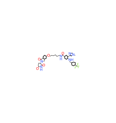 Cn1cnc(-c2cc(C(=O)NCCCCCCOc3ccc4c(c3)CN(C3CCC(=O)NC3=O)C4=O)ccc2NCc2ccc(C(F)(F)F)cc2)c1